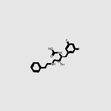 O=C(O)N[C@@H](Cc1cc(F)cc(F)c1)[C@H](O)CNCCc1ccccc1